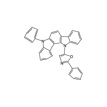 c1ccc(-c2ncc(-n3c4ccccc4c4ccc5c(c6ccccc6n5-c5ccccc5)c43)o2)cc1